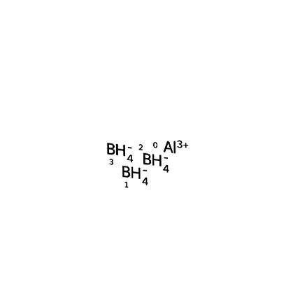 [Al+3].[BH4-].[BH4-].[BH4-]